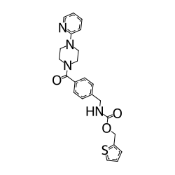 O=C(NCc1ccc(C(=O)N2CCN(c3ccccn3)CC2)cc1)OCc1cccs1